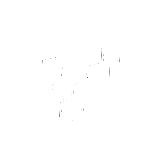 COc1cccc(F)c1OC(=O)c1c2ccccc2nc2ccccc12